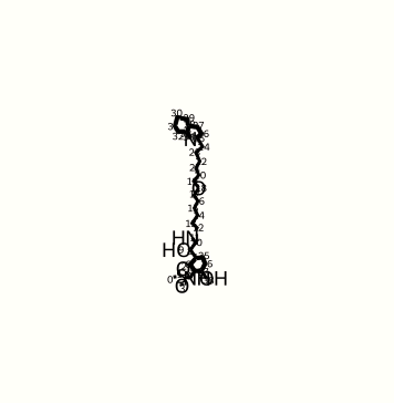 CS(=O)(=O)Nc1cc(C(O)CNCCCCCCOCCCCCCc2ccc3ccccc3n2)ccc1O